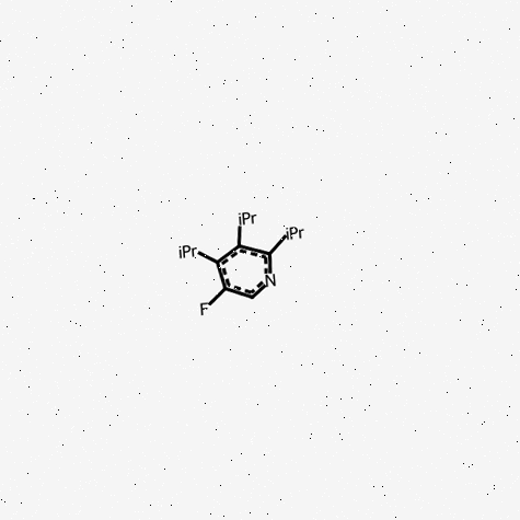 CC(C)c1ncc(F)c(C(C)C)c1C(C)C